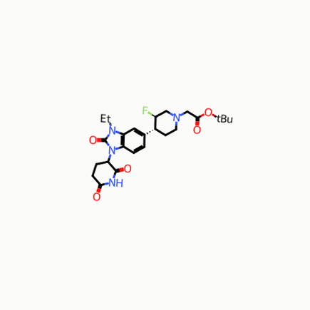 CCn1c(=O)n(C2CCC(=O)NC2=O)c2ccc([C@H]3CCN(CC(=O)OC(C)(C)C)C[C@@H]3F)cc21